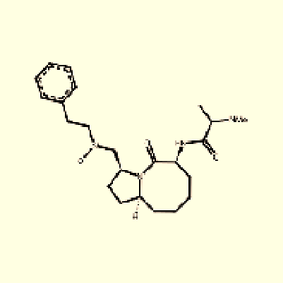 CNC(C)C(=O)N[C@H]1CCCC[C@H]2CC[C@@H](C[S+]([O-])CCc3ccccc3)N2C1=O